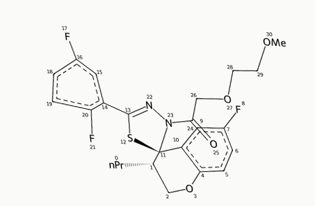 CCC[C@H]1COc2ccc(F)cc2[C@]12SC(c1cc(F)ccc1F)=NN2C(=O)COCCOC